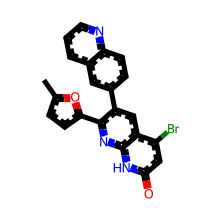 Cc1ccc(-c2nc3[nH]c(=O)cc(Br)c3cc2-c2ccc3ncccc3c2)o1